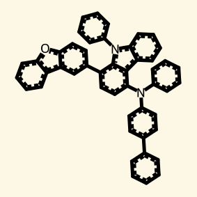 c1ccc(-c2ccc(N(c3ccccc3)c3ccc(-c4ccc5oc6ccccc6c5c4)c4c3c3ccccc3n4-c3ccccc3)cc2)cc1